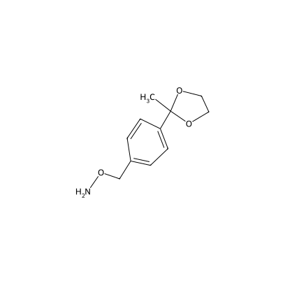 CC1(c2ccc(CON)cc2)OCCO1